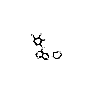 Fc1c(Nc2ncnc3cnc([C@H]4CCCNC4)cc23)ccc(Cl)c1Cl